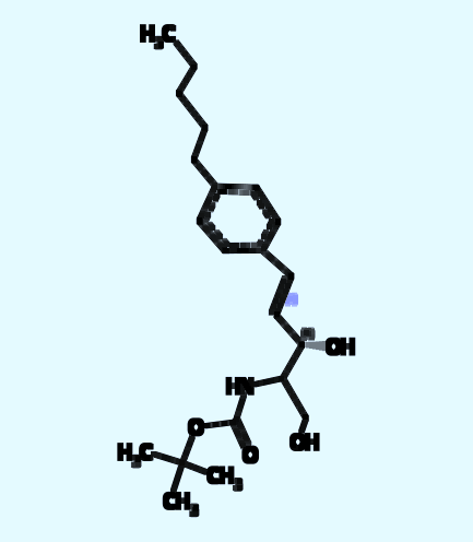 CCCCCc1ccc(/C=C/[C@H](O)C(CO)NC(=O)OC(C)(C)C)cc1